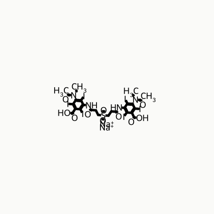 CCN(C(C)=O)c1c(I)c(NC(=O)CCS(=O)(=O)CCC(=O)Nc2c(I)c(C(=O)O)c(I)c(N(CC)C(C)=O)c2I)c(I)c(C(=O)O)c1I.[Na+].[Na+]